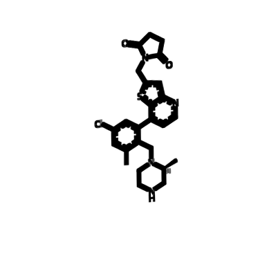 Cc1cc(Cl)cc(-c2ccnc3cc(CN4C(=O)CCC4=O)sc23)c1CN1CCNC[C@@H]1C